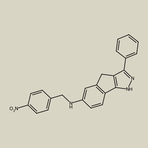 O=[N+]([O-])c1ccc(CNc2ccc3c(c2)Cc2c(-c4ccccc4)n[nH]c2-3)cc1